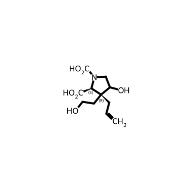 C=CC[C@]1(CCO)C(O)CN(C(=O)O)[C@@H]1C(=O)O